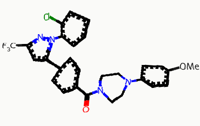 COc1ccc(N2CCN(C(=O)c3ccc(-c4cc(C(F)(F)F)nn4-c4ccccc4Cl)cc3)CC2)cc1